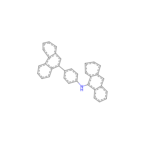 c1ccc2c(Nc3ccc(-c4cc5ccccc5c5ccccc45)cc3)c3ccccc3cc2c1